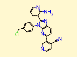 N#Cc1ccncc1-c1ccc2nc(-c3cccnc3N)n(-c3ccc(CCl)cc3)c2n1